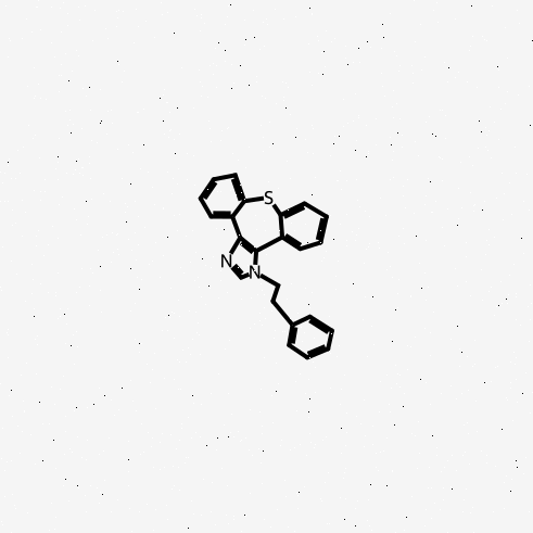 c1ccc(CCn2cnc3c2-c2ccccc2Sc2ccccc2-3)cc1